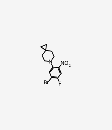 O=[N+]([O-])c1cc(F)c(Br)cc1N1CCC2(CC1)CC2